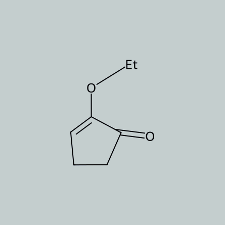 CCOC1=CCCC1=O